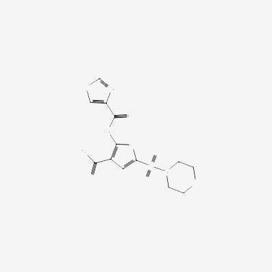 NC(=O)c1cc(S(=O)(=O)N2CCOCC2)sc1NC(=O)c1cocn1